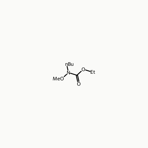 CCCCN(OC)C(=O)OCC